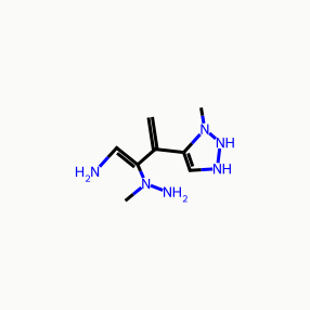 C=C(C1=CNNN1C)/C(=C/N)N(C)N